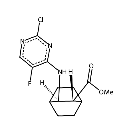 COC(=O)[C@@H]1C2CCC(CC2)[C@H]1Nc1nc(Cl)ncc1F